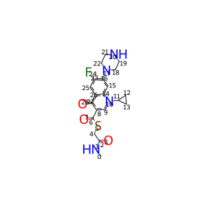 CNC(=O)CSC(=O)c1cn(C2CC2)c2cc(N3CCNCC3)c(F)cc2c1=O